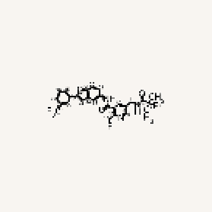 CC(C)(F)C(=O)NCc1cnc(CF)c(C(=O)Nc2ccc3oc(-c4cccc(C(F)(F)F)c4)cc3c2)c1